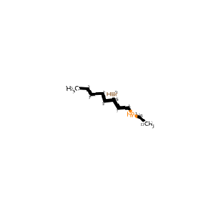 Br.CCCCCCCCPCC